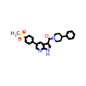 CS(=O)(=O)c1ccc(-c2cnc3[nH]cc(C(=O)N4CCC(c5ccccc5)CC4)c3c2)cc1